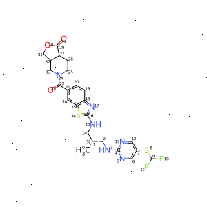 C[C@@H](CNc1ncc(SC(F)F)cn1)CNc1nc2ccc(C(=O)N3CCC4C(=O)OCC4C3)cc2s1